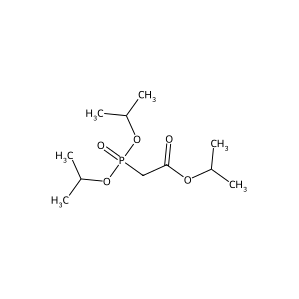 CC(C)OC(=O)CP(=O)(OC(C)C)OC(C)C